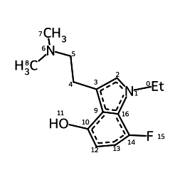 CCn1cc(CCN(C)C)c2c(O)ccc(F)c21